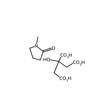 CN1CCCC1=O.O=C(O)CC(O)(CC(=O)O)C(=O)O